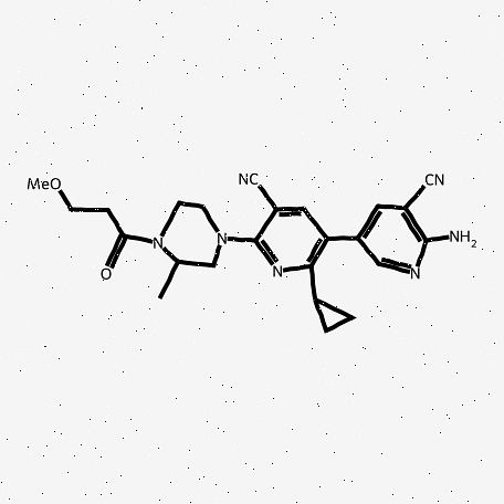 COCCC(=O)N1CCN(c2nc(C3CC3)c(-c3cnc(N)c(C#N)c3)cc2C#N)CC1C